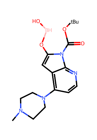 CN1CCN(c2ccnc3c2cc(OBO)n3C(=O)OC(C)(C)C)CC1